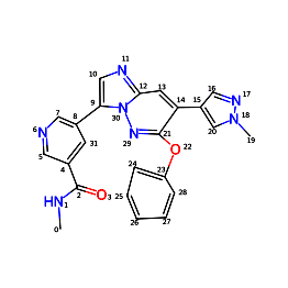 CNC(=O)c1cncc(-c2cnc3cc(-c4cnn(C)c4)c(Oc4ccccc4)nn23)c1